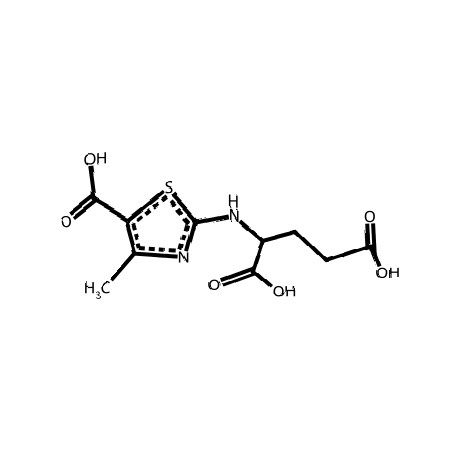 Cc1nc(NC(CCC(=O)O)C(=O)O)sc1C(=O)O